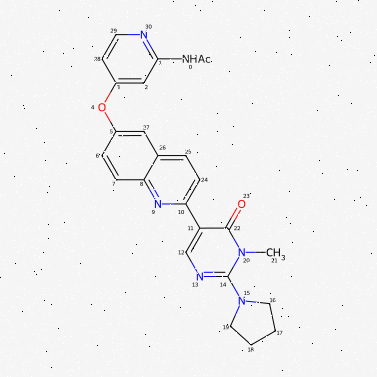 CC(=O)Nc1cc(Oc2ccc3nc(-c4cnc(N5CCCC5)n(C)c4=O)ccc3c2)ccn1